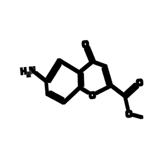 COC(=O)c1cc(=O)c2cc(N)ccc2o1